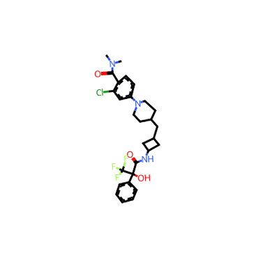 CN(C)C(=O)c1ccc(N2CCC(CC3CC(NC(=O)C(O)(c4ccccc4)C(F)(F)F)C3)CC2)cc1Cl